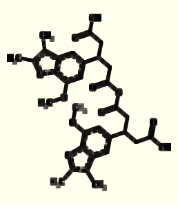 COc1cc(C(CC(=O)O)CC(=O)OC(=O)CC(CC(=O)O)c2cc(OC)c3oc(C)c(C)c3c2)cc2c(C)c(C)oc12